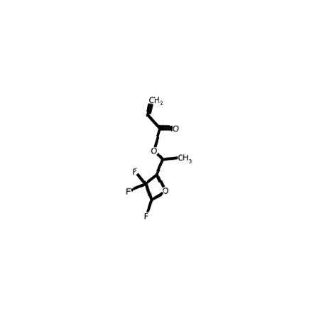 C=CC(=O)OC(C)C1OC(F)C1(F)F